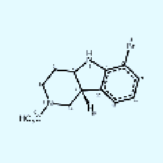 O=C(O)N1CCC2Nc3c(Br)cccc3[C@@H]2C1